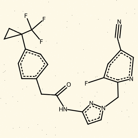 N#Cc1cnc(Cn2ccc(NC(=O)Cc3ccc(C4(C(F)(F)F)CC4)cc3)n2)c(F)c1